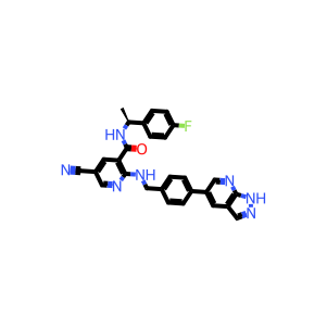 C[C@H](NC(=O)c1cc(C#N)cnc1NCc1ccc(-c2cnc3[nH]ncc3c2)cc1)c1ccc(F)cc1